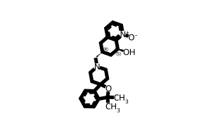 CC1(C)OC2(CCN(C[C@@H]3Cc4ccc[n+]([O-])c4[C@@H](O)C3)CC2)c2ccccc21